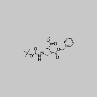 COC(=O)C1C[C@@H](NC(=O)OC(C)(C)C)CN1C(=O)OCc1ccccc1